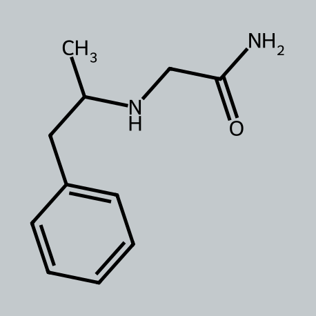 CC(Cc1ccccc1)NCC(N)=O